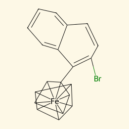 Brc1ccc2ccccc2c1[C]12[CH]3[CH]4[CH]5[CH]1[Fe]45321678[CH]2[CH]1[CH]6[CH]7[CH]28